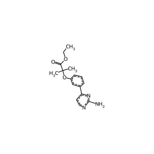 CCOC(=O)C(C)(C)Oc1cccc(-c2ccnc(N)n2)c1